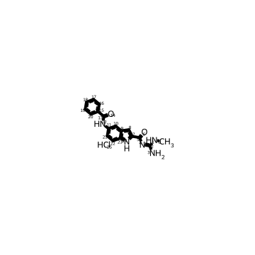 CNC(N)=NC(=O)c1cc2cc(NC(=O)c3ccccc3)ccc2[nH]1.Cl